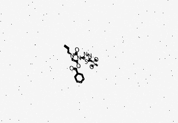 C=CCN1CC(OC(=O)C2CCCCC2)N(c2nnc(S(C)(=O)=O)s2)C1=O